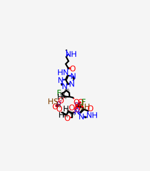 CNCCCC(=O)Nc1ncnc2c1ncn2[C@@H]1CC2CO[P@@](=O)(S)O[C@]3(n4cc(F)c5c(=O)[nH]cnc54)CO[C@H](CO[P@@](=O)(S)O[C@H]2[C@H]1F)[C@H]3O